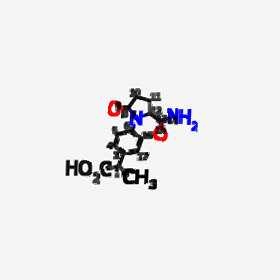 CC(C(=O)O)c1ccc(N2C(=O)CCC2C(N)=O)cc1